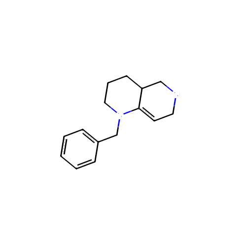 C1=C2C(CCCN2Cc2ccccc2)CNC1